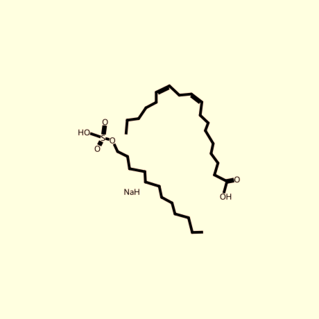 CCCCC/C=C\C/C=C\CCCCCCCC(=O)O.CCCCCCCCCCCCOS(=O)(=O)O.[NaH]